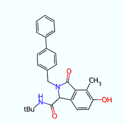 Cc1c(O)ccc2c1C(=O)N(Cc1ccc(-c3ccccc3)cc1)C2C(=O)NC(C)(C)C